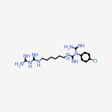 N=C(N)NC(=N)NCCCCCCNC(=N)N(C(=N)N)c1ccc(Cl)cc1